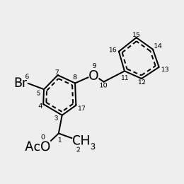 CC(=O)OC(C)c1cc(Br)cc(OCc2ccccc2)c1